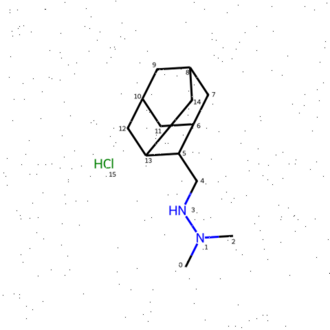 CN(C)NCC1C2CC3CC(C2)CC1C3.Cl